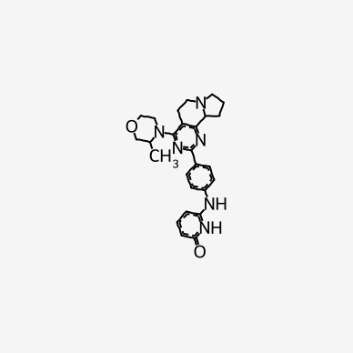 CC1COCCN1c1nc(-c2ccc(Nc3cccc(=O)[nH]3)cc2)nc2c1CCN1CCCC21